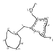 COc1ncc(F)cc1CN1C[CH]CCC1